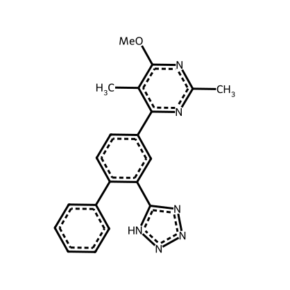 COc1nc(C)nc(-c2ccc(-c3ccccc3)c(-c3nnn[nH]3)c2)c1C